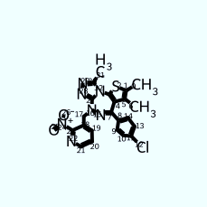 Cc1sc2c(c1C)C(c1ccc(Cl)cc1)=NN(Cc1cccnc1[N+](=O)[O-])c1nnc(C)n1-2